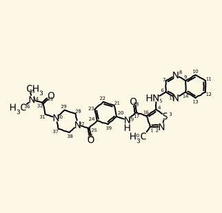 Cc1nsc(Nc2cnc3ccccc3n2)c1C(=O)Nc1cccc(C(=O)N2CCN(CC(=O)N(C)C)CC2)c1